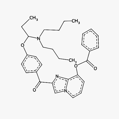 CCCCN(CCCC)C(CC)Oc1ccc(C(=O)c2cn3cccc(OC(=O)c4ccccc4)c3n2)cc1